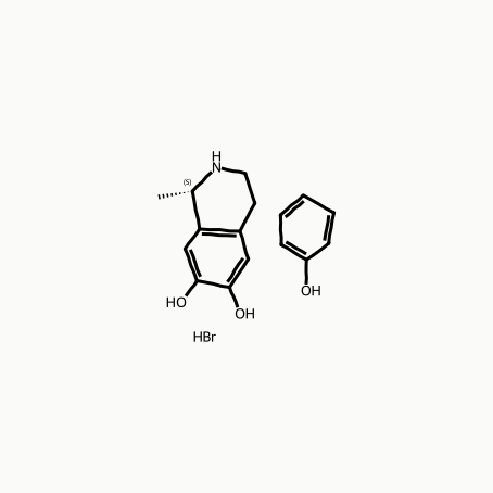 Br.C[C@@H]1NCCc2cc(O)c(O)cc21.Oc1ccccc1